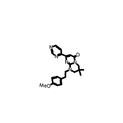 COc1ccc(CCN2CC(C)(C)Cn3c2nc(-c2ccncn2)cc3=O)cc1